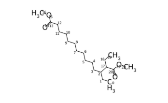 CCC(CCCCCCCCCCC(=O)OC)C(CC)C(=O)OC